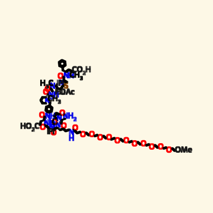 CC[C@H](C)[C@H](NC(=O)[C@H]1CCCC[N+]1(C)Cc1ccc(NC(=O)[C@H](CCC(=O)O)NC(=O)[C@@H](NC(=O)[C@H](CCCCNC(=O)CCOCCOCCOCCOCCOCCOCCOCCOCCOCCOCCOCCOC)NC(=O)[C@H](CN)N2C(=O)C=CC2=O)C(C)C)cc1)C(=O)N(C)[C@H](C[C@@H](OC(C)=O)c1nc(C(=O)N[C@@H](Cc2ccccc2)C[C@H](C)C(=O)O)cs1)C(C)C